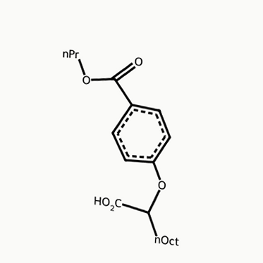 CCCCCCCCC(Oc1ccc(C(=O)OCCC)cc1)C(=O)O